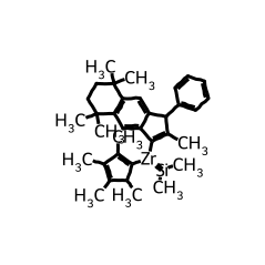 CC1=C(C)C(C)[C]([Zr]([C]2=C(C)C(c3ccccc3)c3cc4c(cc32)C(C)(C)CCC4(C)C)=[Si](C)C)=C1C